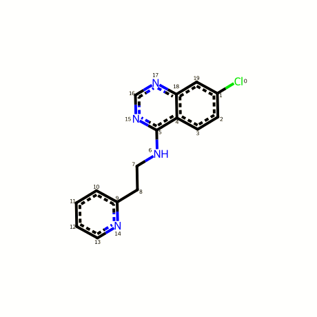 Clc1ccc2c(NCCc3ccccn3)ncnc2c1